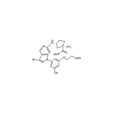 CNC(=O)[C@]1(C)CC[C@@H](Nc2ncc3c(Br)nn(-c4cc(C#N)cc(OCCOC)c4)c3n2)C1